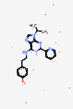 CC(C)n1cnc2c1=NC(c1ccccn1)NC=2NCCc1ccc(O)cc1